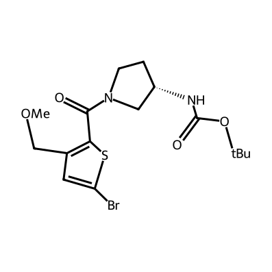 COCc1cc(Br)sc1C(=O)N1CC[C@H](NC(=O)OC(C)(C)C)C1